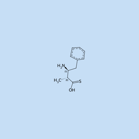 C[C@@H](C(O)=S)[C@@H](N)Cc1ccccc1